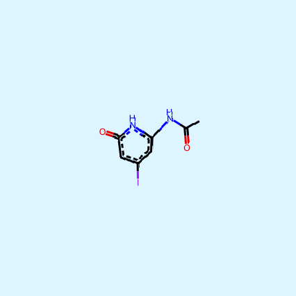 CC(=O)Nc1cc(I)cc(=O)[nH]1